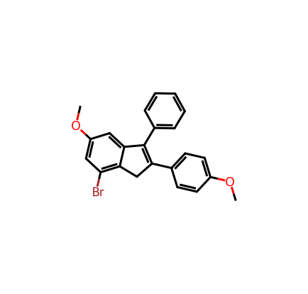 COc1ccc(C2=C(c3ccccc3)c3cc(OC)cc(Br)c3C2)cc1